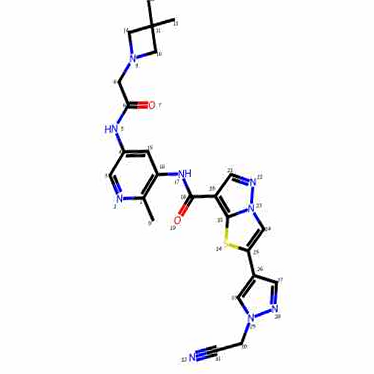 Cc1ncc(NC(=O)CN2CC(C)(C)C2)cc1NC(=O)c1cnn2cc(-c3cnn(CC#N)c3)sc12